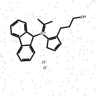 C[C](C)=[Zr+2]([C]1=C(CCCO)C=CC1)[CH]1c2ccccc2-c2ccccc21.[Cl-].[Cl-]